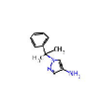 CC(C)(c1ccccc1)n1cc(N)cn1